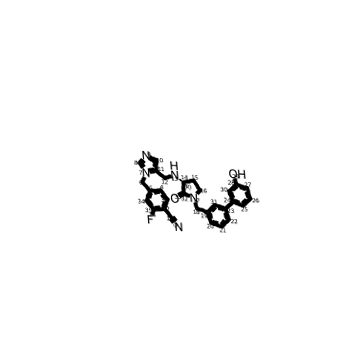 N#Cc1ccc(Cn2cncc2CN[C@@H]2CCN(Cc3cccc(-c4cccc(O)c4)c3)C2=O)cc1F